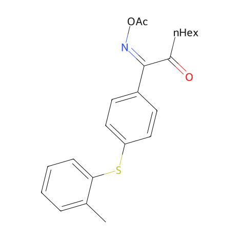 CCCCCCC(=O)C(=NOC(C)=O)c1ccc(Sc2ccccc2C)cc1